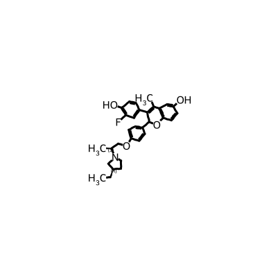 CC[C@@H]1CCN([C@@H](C)COc2ccc(C3Oc4ccc(O)cc4C(C)=C3c3ccc(O)c(F)c3)cc2)C1